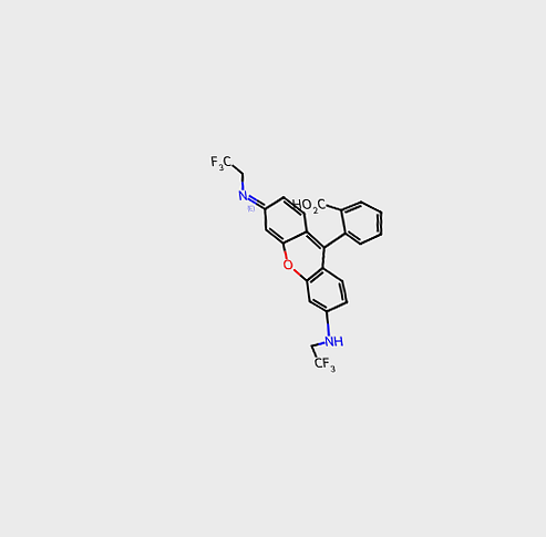 O=C(O)c1ccccc1-c1c2cc/c(=N\CC(F)(F)F)cc-2oc2cc(NCC(F)(F)F)ccc12